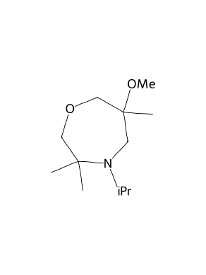 COC1(C)COCC(C)(C)N(C(C)C)C1